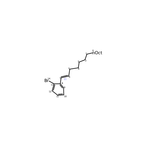 CCCCCCCCCCCCC/C=C/c1ccccc1Br